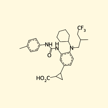 Cc1ccc(NC(=O)Nc2cc(C3CC3C(=O)O)ccc2N(CC(C)CC(F)(F)F)C2CCCCC2)cc1